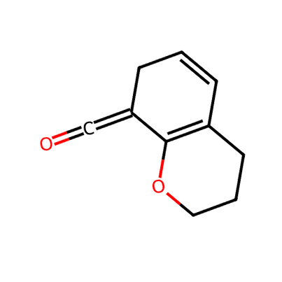 O=C=C1CC=CC2=C1OCCC2